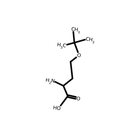 CC(C)(C)OCCC(N)C(=O)O